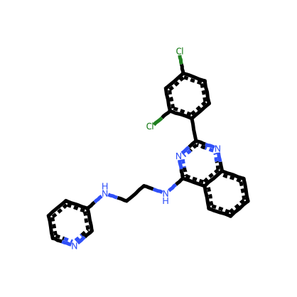 Clc1ccc(-c2nc(NCCNc3cccnc3)c3ccccc3n2)c(Cl)c1